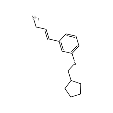 NCC=Cc1cccc(SCC2CCCC2)c1